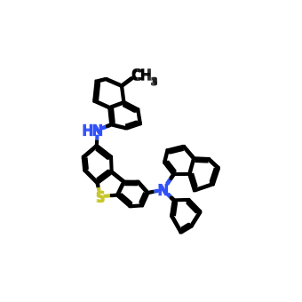 CC1CC=Cc2c(Nc3ccc4sc5ccc(N(c6ccccc6)c6cccc7ccccc67)cc5c4c3)cccc21